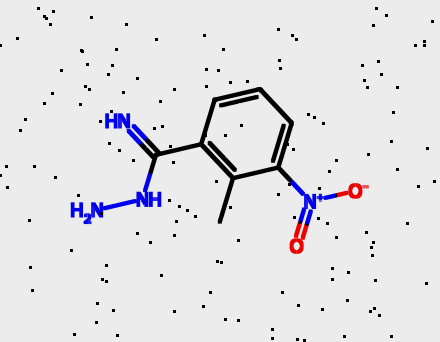 Cc1c(C(=N)NN)cccc1[N+](=O)[O-]